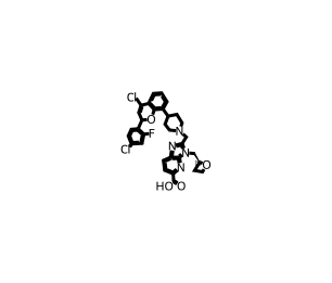 O=C(O)c1ccc2nc(CN3CCC(c4cccc5c4OC(c4ccc(Cl)cc4F)C=C5Cl)CC3)n(C[C@@H]3CCO3)c2n1